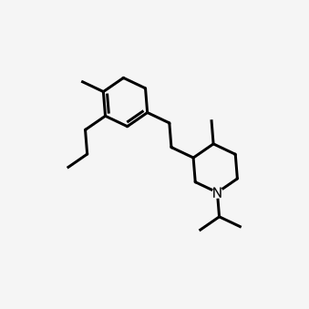 CCCC1=C(C)CCC(CCC2CN(C(C)C)CCC2C)=C1